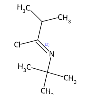 CC(C)/C(Cl)=N/C(C)(C)C